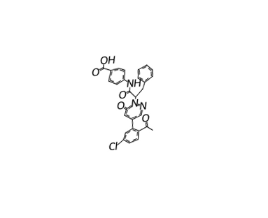 CC(=O)c1ccc(Cl)cc1-c1cnn(C(Cc2ccccc2)C(=O)Nc2ccc(C(=O)O)cc2)c(=O)c1